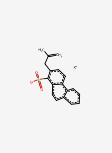 C=C(C)Cc1ccc2c(ccc3ccccc32)c1S(=O)(=O)[O-].[K+]